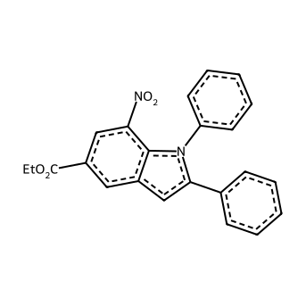 CCOC(=O)c1cc([N+](=O)[O-])c2c(c1)cc(-c1ccccc1)n2-c1ccccc1